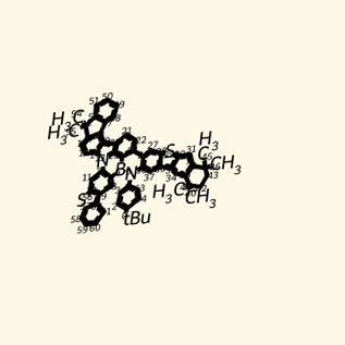 CC(C)(C)c1ccc(N2B3c4cc5c(cc4-n4c6ccc7c(c6c6ccc(c3c64)-c3cc4sc6cc8c(cc6c4cc32)C(C)(C)CCC8(C)C)-c2ccccc2C7(C)C)sc2ccccc25)cc1